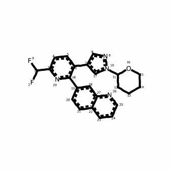 FC(F)c1ccc(-c2cnn(C3CCCCO3)c2)c(-c2ccc3cccnc3c2)n1